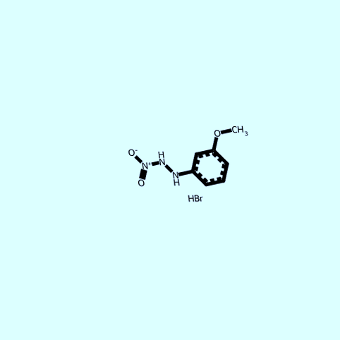 Br.COc1cccc(NN[N+](=O)[O-])c1